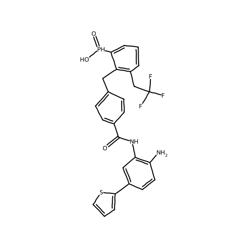 Nc1ccc(-c2cccs2)cc1NC(=O)c1ccc(Cc2c(CC(F)(F)F)cccc2[PH](=O)O)cc1